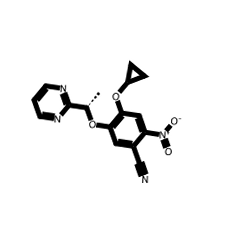 C[C@H](Oc1cc(C#N)c([N+](=O)[O-])cc1OC1CC1)c1ncccn1